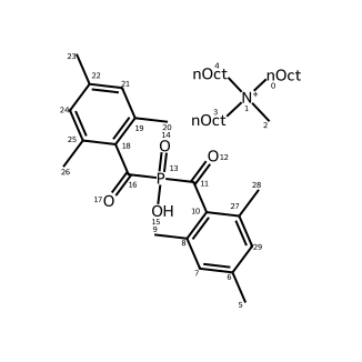 CCCCCCCC[N+](C)(CCCCCCCC)CCCCCCCC.Cc1cc(C)c(C(=O)P(=O)(O)C(=O)c2c(C)cc(C)cc2C)c(C)c1